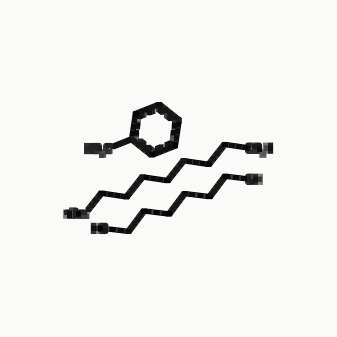 CCCCCCCCCCCCCCCCCC(=O)O.O=C(O)c1ccccc1.OCCCCCCO